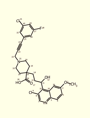 COc1ccc2ncc(Cl)c(C(O)CCC3(C(=O)O)CCN(CC#Cc4cc(F)cc(Cl)c4)CC3)c2c1